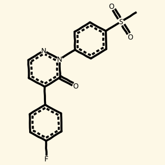 CS(=O)(=O)c1ccc(-n2nccc(-c3ccc(F)cc3)c2=O)cc1